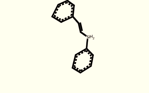 C(=Cc1ccccc1)[SiH2]c1ccccc1